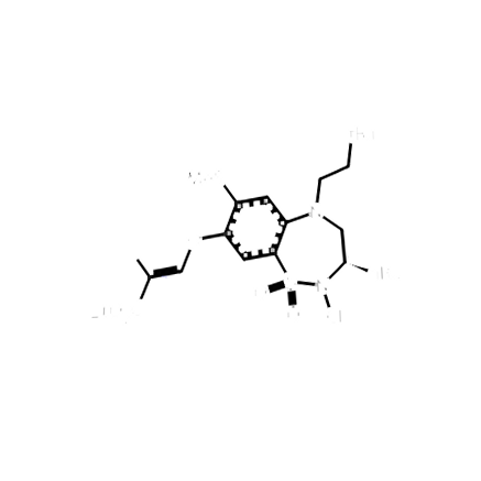 CCCC[C@@H]1CN(CCC(C)(C)C)c2cc(SC)c(O/C=C(\F)C(=O)OCC)cc2S(=O)(=O)N1C